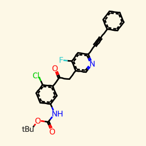 CC(C)(C)OC(=O)Nc1ccc(Cl)c(C(=O)Cc2cnc(C#Cc3ccccc3)cc2F)c1